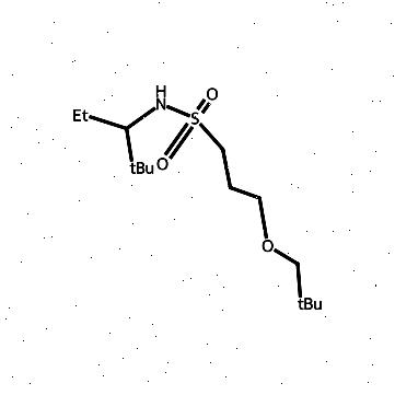 CCC(NS(=O)(=O)CCCOCC(C)(C)C)C(C)(C)C